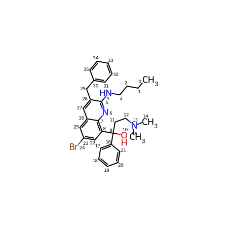 CCCCNc1nc2c(C(O)(CCN(C)C)c3ccccc3)cc(Br)cc2cc1Cc1ccccc1